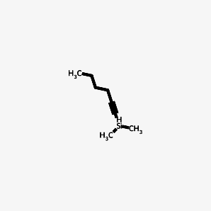 CCCCC#C[SiH](C)C